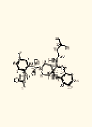 CC(=O)Nc1ccc(C)cc1S(=O)(=O)N1CCC2(CC1)Nc1ccccc1N=C2NCCC(C)C